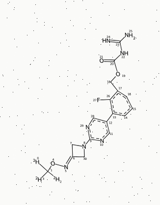 [2H]C([2H])([2H])ON=C1CN(c2ncc(-c3cccc(COC(=O)NC(=N)N)c3F)cn2)C1